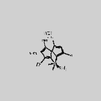 CCCC1=CC(CC)=[C]([Ti]([CH3])([CH3])(=[SiH2])[C]2=C(CC)C=C(CCC)C2)C1.Cl.Cl